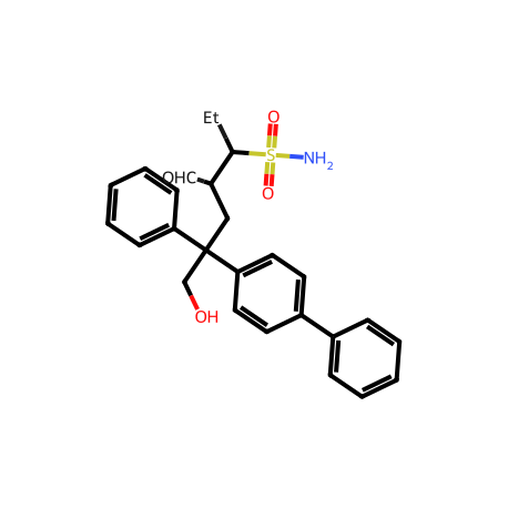 CCC(C(C=O)CC(CO)(c1ccccc1)c1ccc(-c2ccccc2)cc1)S(N)(=O)=O